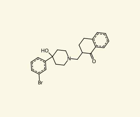 O=C1c2ccccc2CCC1CN1CCC(O)(c2cccc(Br)c2)CC1